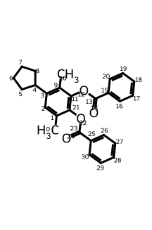 Cc1cc(C2CCCC2)c(C)c(OC(=O)c2ccccc2)c1OC(=O)c1ccccc1